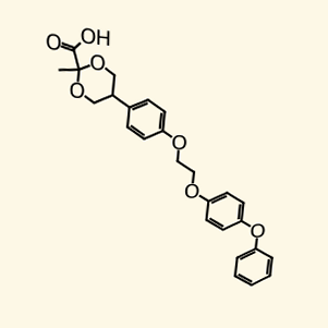 CC1(C(=O)O)OCC(c2ccc(OCCOc3ccc(Oc4ccccc4)cc3)cc2)CO1